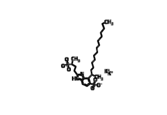 CCCCCCCCCCCCCCC(C)c1c(S(=O)(=O)[O-])ccc2[nH]c(CCC(C)S(=O)(=O)[O-])nc12.[K+].[K+]